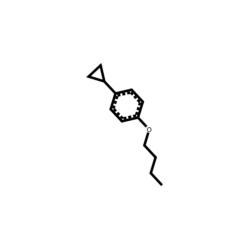 CCCCOc1ccc(C2CC2)cc1